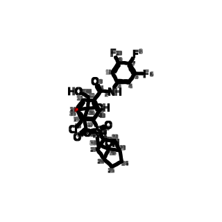 O=C(Nc1cc(F)c(F)c(F)c1)c1ccc(Cl)c(S(=O)(=O)C2CC3CCC(C2)C3(O)CNC(=O)C2CC2(O)CO)c1